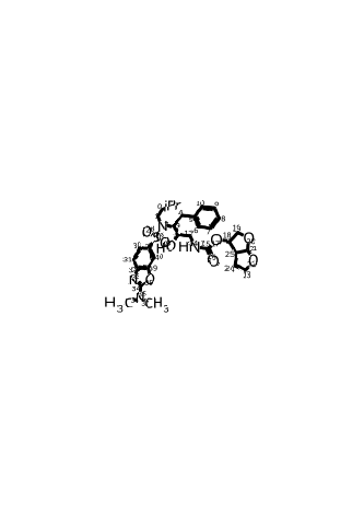 CC(C)CN(C(Cc1ccccc1)C(O)CNC(=O)OC1COC2OCCC12)S(=O)(=O)c1ccc2nc(N(C)C)oc2c1